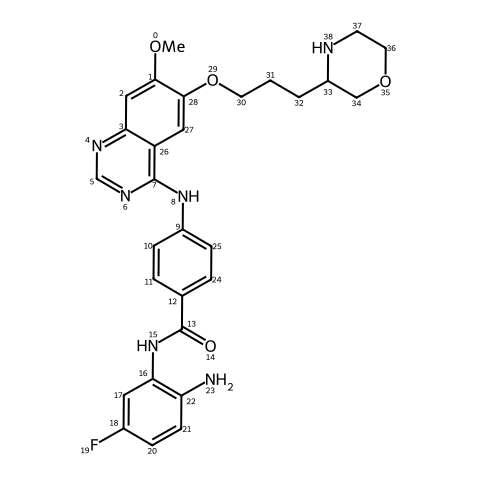 COc1cc2ncnc(Nc3ccc(C(=O)Nc4cc(F)ccc4N)cc3)c2cc1OCCCC1COCCN1